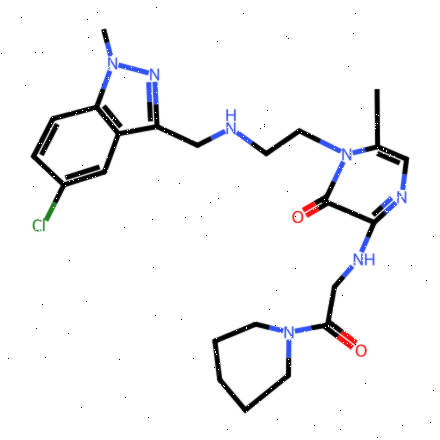 Cc1cnc(NCC(=O)N2CCCCC2)c(=O)n1CCNCc1nn(C)c2ccc(Cl)cc12